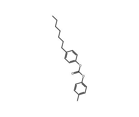 CCCCCCCc1ccc(OC(=O)Oc2ccc(C)cc2)cc1